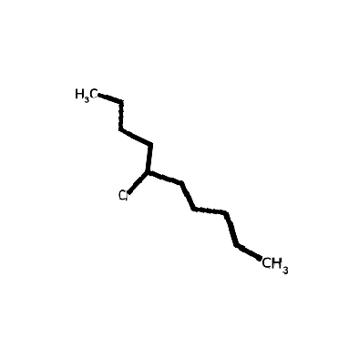 CCCCCC(Cl)CCCC